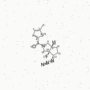 Cc1ccc(C(=O)N2C[C@@H]3CC[C@@H](N=[N+]=[N-])[C@]3(F)C2)s1